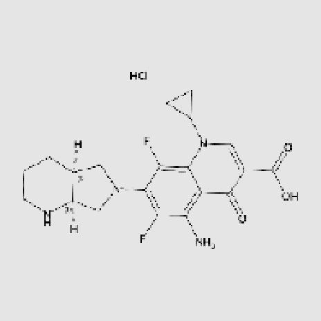 Cl.Nc1c(F)c(N2C[C@@H]3CCCN[C@@H]3C2)c(F)c2c1c(=O)c(C(=O)O)cn2C1CC1